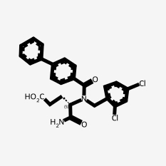 NC(=O)[C@H](CCC(=O)O)N(Cc1ccc(Cl)cc1Cl)C(=O)c1ccc(-c2ccccc2)cc1